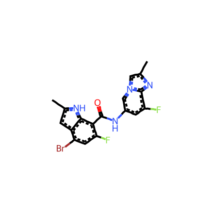 Cc1cn2cc(NC(=O)c3c(F)cc(Br)c4cc(C)[nH]c34)cc(F)c2n1